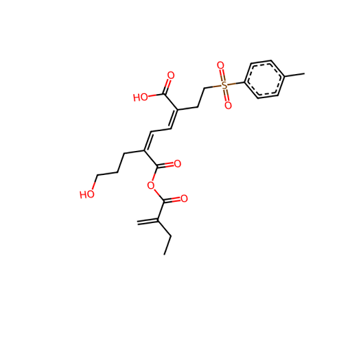 C=C(CC)C(=O)OC(=O)C(=CC=C(CCS(=O)(=O)c1ccc(C)cc1)C(=O)O)CCCO